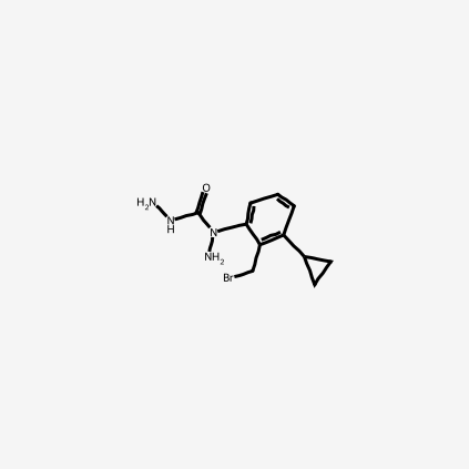 NNC(=O)N(N)c1cccc(C2CC2)c1CBr